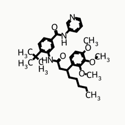 CCCCCC(CC(=O)Nc1cc(C(=O)Nc2cccnc2)ccc1C(C)(C)C)c1ccc(OC)c(OC)c1OC